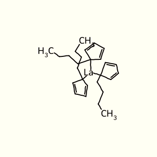 CCCC[C]1([La]([C]2(CCCC)C=CC=C2)[C]2(CCCC)C=CC=C2)C=CC=C1